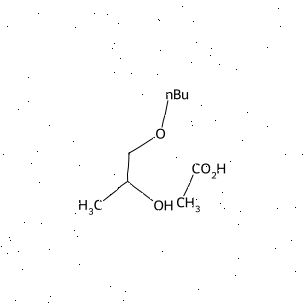 CC(=O)O.CCCCOCC(C)O